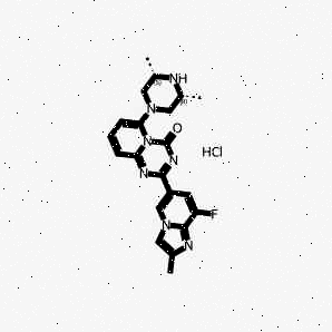 Cc1cn2cc(-c3nc(=O)n4c(N5C[C@@H](C)N[C@@H](C)C5)cccc4n3)cc(F)c2n1.Cl